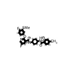 CSc1cc(Oc2ncc(F)cc2C(=O)NC2CCC(NC(=O)c3ccc(C)cc3O)CC2)ccc1F